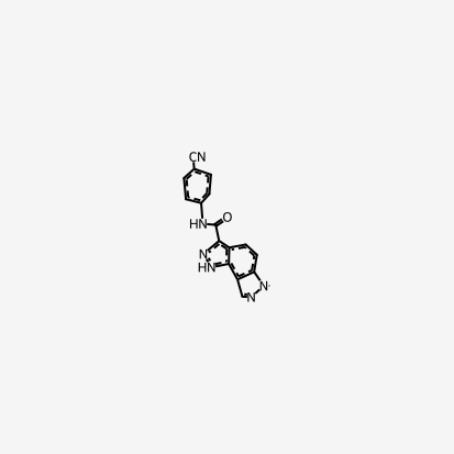 N#Cc1ccc(NC(=O)c2n[nH]c3c4c(ccc23)[N]N=C4)cc1